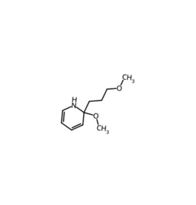 COCCCC1(OC)C=CC=CN1